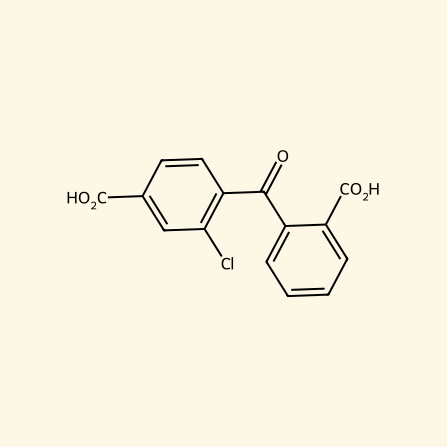 O=C(O)c1ccc(C(=O)c2ccccc2C(=O)O)c(Cl)c1